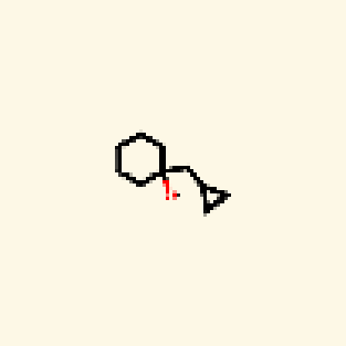 [O]C1(CC2CC2)CCCCC1